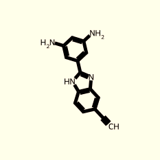 C#Cc1ccc2[nH]c(-c3cc(N)cc(N)c3)nc2c1